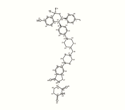 Cc1ccc([C@@H]2CC(F)(F)c3cc(O)ccc3[C@@H]2c2ccc(N3CCC(CN4CCN(c5ccc6c(c5)CN([C@H]5CCC(=O)NC5=O)C6=O)CC4)CC3)cc2)cc1